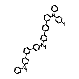 Ic1ccc(N(c2ccccc2)c2cccc(-c3ccc(-c4ccc(N(I)c5ccc(-c6cccc(-c7ccc(N(I)c8ccccc8)cc7)c6)cc5)cc4)cc3)c2)cc1